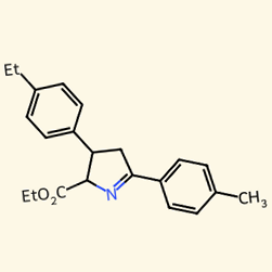 CCOC(=O)C1N=C(c2ccc(C)cc2)CC1c1ccc(CC)cc1